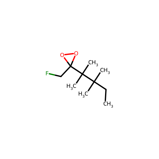 CCC(C)(C)C(C)(C)C1(CF)OO1